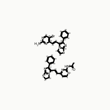 CC(=O)Nc1nccc(C=Cc2c(-c3ccccc3)nc3n2CCS3)n1.Nc1ncc(Br)c(C=Cc2c(-c3ccccc3)nc3sccn23)n1